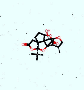 C[C@@H]1COC2C1C13O[C@]4(C(C)(C)C)OC(=O)CC45CCC(OC1=O)C35[C@H]2O